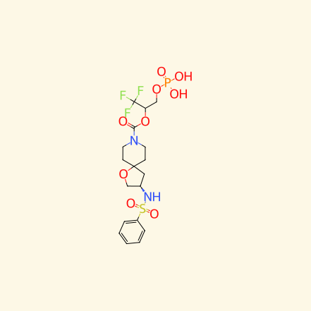 O=C(OC(COP(=O)(O)O)C(F)(F)F)N1CCC2(CC1)C[C@@H](NS(=O)(=O)c1ccccc1)CO2